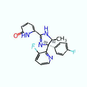 C[C@@H]1NC(c2cccc(=O)[nH]2)=N[C@]1(c1ccc(F)cc1)c1ncccc1F